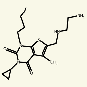 Cc1c(CNCCN)sc2c1c(=O)n(C1CC1)c(=O)n2CCCF